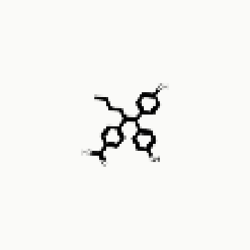 CCCCC(=C(c1ccc(O)cc1)c1ccc(O)cc1)c1ccc(C(=O)O)cc1